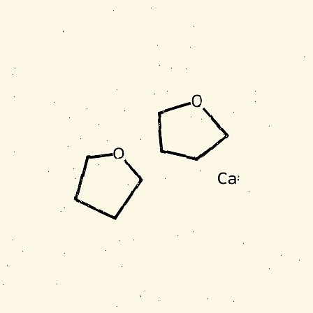 C1CCOC1.C1CCOC1.[Ca]